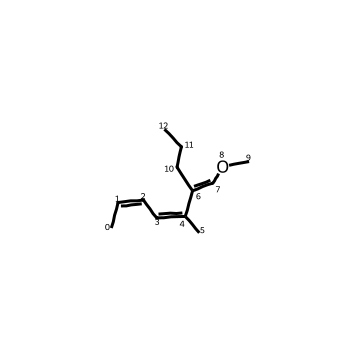 C\C=C/C=C(C)\C(=C\OC)CCC